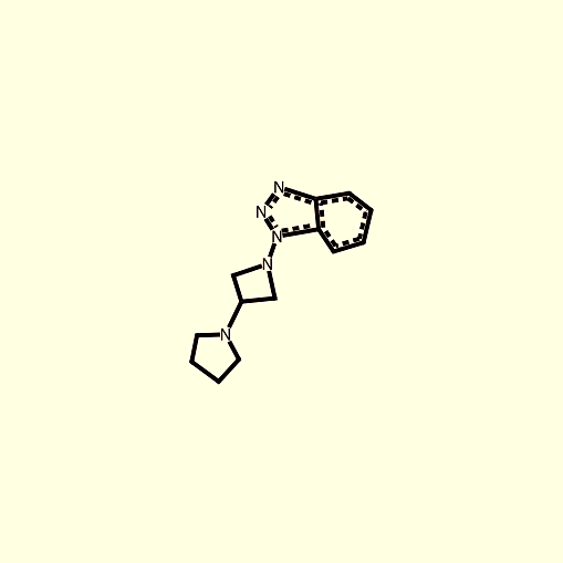 c1ccc2c(c1)nnn2N1CC(N2CCCC2)C1